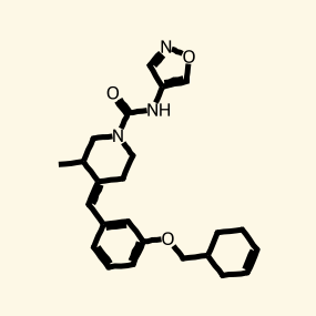 CC1CN(C(=O)Nc2cnoc2)CCC1=Cc1cccc(OCC2CC=CCC2)c1